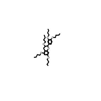 CCCCOc1cc(OCCCC)c2c(c1)OC(c1ccc(OCCCC)c(OCCCC)c1)C(OCCCC)C2